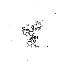 CCOc1ccccc1S(=O)(=O)Nc1cc(C(=O)NC2CCN(C)CC2)c2c(c1)C1(CCC1)C(=O)N2